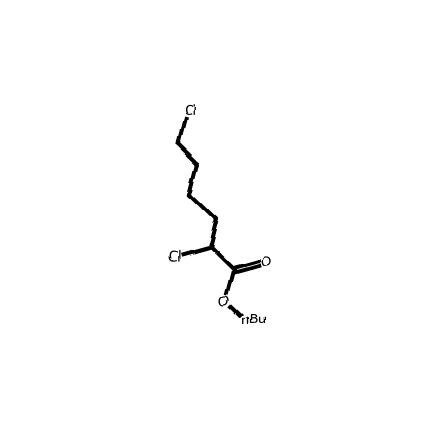 CCCCOC(=O)C(Cl)CCCCCl